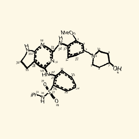 COc1cc(N2CCC(O)CC2)ccc1Nc1nc2c(c(Nc3ccccc3S(=O)(=O)NC(C)C)n1)CCN2